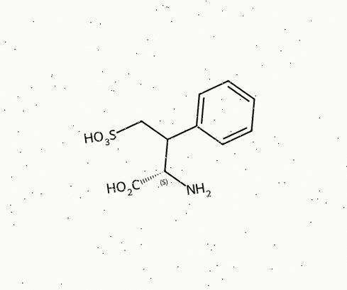 N[C@H](C(=O)O)C(CS(=O)(=O)O)c1ccccc1